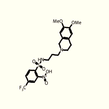 COc1cc2c(cc1OC)CN(CCCNS(=O)(=O)c1ccc(C(F)(F)F)cc1[N+](=O)O)CC2